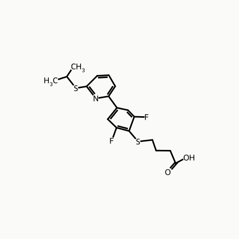 CC(C)Sc1cccc(-c2cc(F)c(SCCCC(=O)O)c(F)c2)n1